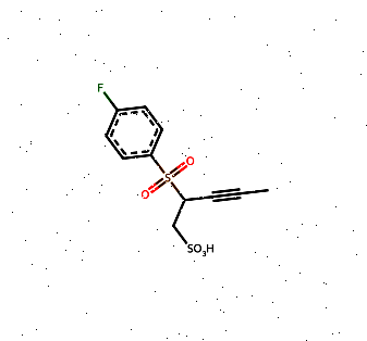 CC#CC(CS(=O)(=O)O)S(=O)(=O)c1ccc(F)cc1